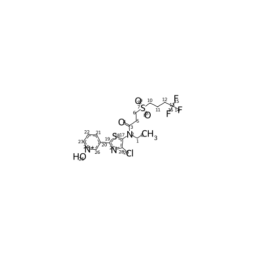 CCN(C(=O)CCS(=O)(=O)CCCC(F)(F)F)c1sc(-c2ccc[n+](O)c2)nc1Cl